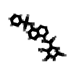 Nc1c(C(=O)N[C@@H]2CCCc3c(NS(=O)(=O)c4ccccc4)cccc32)[nH]c(=O)[nH]c1=O